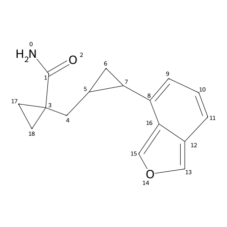 NC(=O)C1(CC2CC2c2cccc3cocc23)CC1